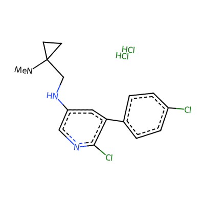 CNC1(CNc2cnc(Cl)c(-c3ccc(Cl)cc3)c2)CC1.Cl.Cl